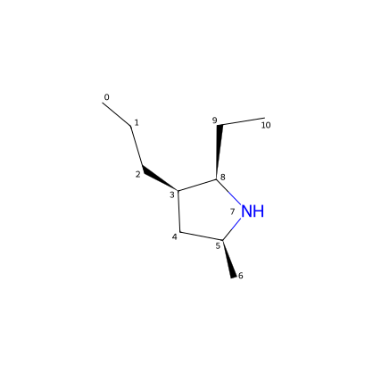 CCC[C@@H]1C[C@H](C)N[C@@H]1CC